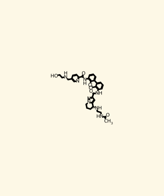 CC(=O)NCCN[C@H]1CCCn2nc(C(=O)Nc3cccc(-c4cccc(NC(=O)c5ccc(CNCCO)cn5)c4Cl)c3Cl)cc21